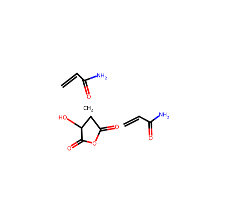 C.C=CC(N)=O.C=CC(N)=O.O=C1CC(O)C(=O)O1